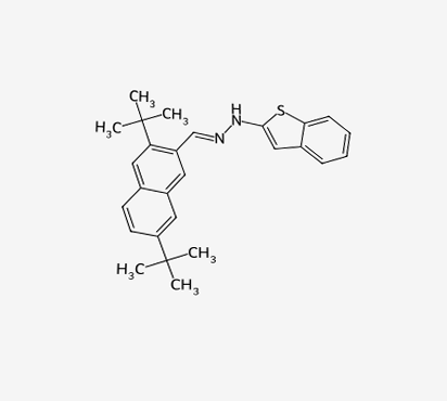 CC(C)(C)c1ccc2cc(C(C)(C)C)c(/C=N/Nc3cc4ccccc4s3)cc2c1